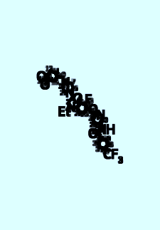 CCN(CC(=O)N1CCN(Cc2ccc3c(c2)OCO3)CC1)c1ccc(Oc2ccc(NC(=O)c3ccc(C(F)(F)F)cc3)cn2)c(F)c1